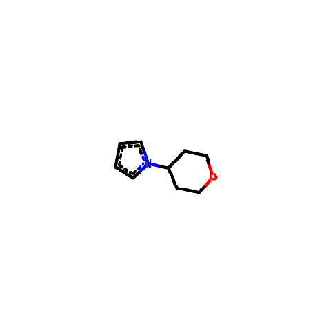 c1ccn(C2CCOCC2)c1